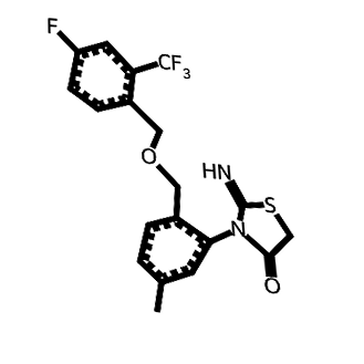 Cc1ccc(COCc2ccc(F)cc2C(F)(F)F)c(N2C(=N)SCC2=O)c1